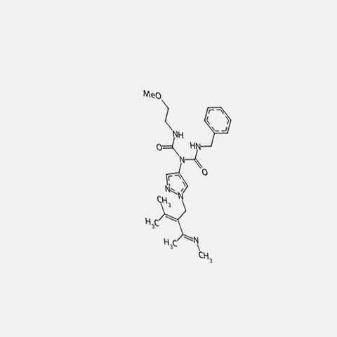 CN=C(C)C(Cn1cc(N(C(=O)NCCOC)C(=O)NCc2ccccc2)cn1)=C(C)C